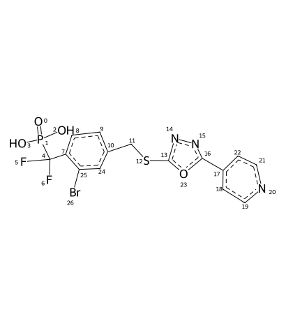 O=P(O)(O)C(F)(F)c1ccc(CSc2nnc(-c3ccncc3)o2)cc1Br